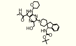 CNC(=O)c1nn(C2CCCCO2)c2nc(N3CCC4(CC3)Cc3ccccc3[C@H]4NC(=O)OC(C)(C)C)c(CO)nc12